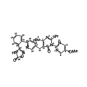 CCCCc1nc(C(C)C)n(-c2ncc(OC)cn2)c(=O)c1Cc1ccc(-c2ccccc2-c2noc(=O)[nH]2)nc1